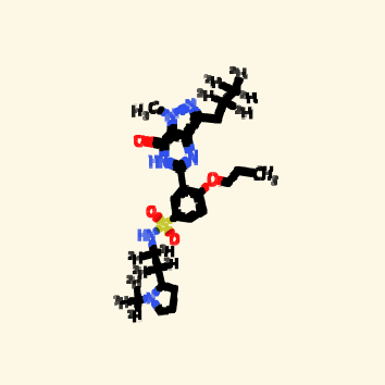 [2H]C([2H])([2H])N1CCCC1C([2H])([2H])C([2H])([2H])NS(=O)(=O)c1ccc(OCCC)c(-c2nc3c(CC([2H])([2H])C([2H])([2H])[2H])nn(C)c3c(=O)[nH]2)c1